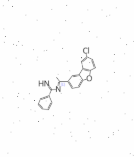 C/C(=N\C(=N)c1ccccc1)c1ccc2oc3ccc(Cl)cc3c2c1